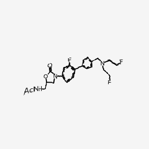 CC(=O)NCC1CN(c2ccc(-c3ccc(CN(CCF)CCF)cc3)c(F)c2)C(=O)O1